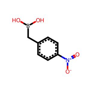 O=[N+]([O-])c1ccc(CB(O)O)cc1